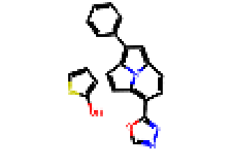 Oc1cccs1.c1ccc(-c2cc3ccc(-c4nnco4)c4ccc2n34)cc1